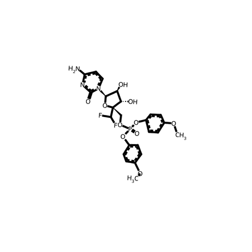 COc1ccc(OP(=O)(OC[C@@]2(C(F)F)O[C@@H](n3ccc(N)nc3=O)[C@@H](O)[C@@H]2O)Oc2ccc(OC)cc2)cc1